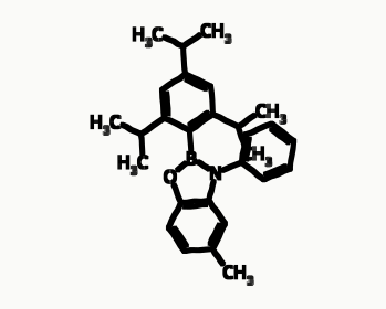 Cc1ccc2c(c1)N(c1ccccc1)B(c1c(C(C)C)cc(C(C)C)cc1C(C)C)O2